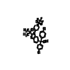 CC(C)(C)c1nc2ccc(C(O)(c3ccc(Cl)cc3)c3ccc(Cl)cc3)cc2n1C1CCN(S(=O)(=O)C(F)(F)F)CC1